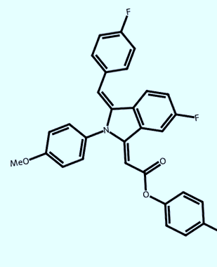 COc1ccc(-n2c(=CC(=O)Oc3ccc(Cl)cc3)c3cc(F)ccc3/c2=C\c2ccc(F)cc2)cc1